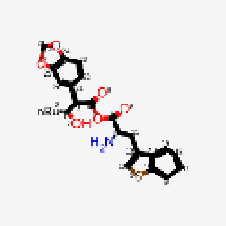 CCCCC(O)C(C(=O)OC(=O)[C@@H](N)Cc1csc2ccccc12)c1ccc2c(c1)OCO2